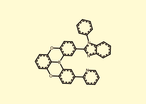 c1ccc(-n2c(-c3ccc4c(c3)B3c5cc(-c6ccccn6)ccc5Oc5cccc(c53)O4)nc3ccccc32)cc1